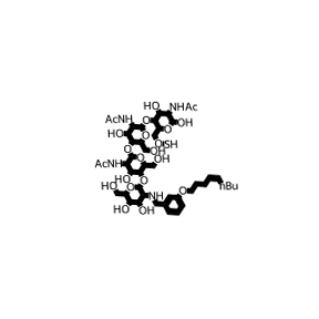 CCCC/C=C\CCCOc1cccc(CNC2C(OC3C(CO)OC(OC4C(CO)OC(OC5C(COS)OC(O)C(NC(C)=O)C5O)C(NC(C)=O)C4O)C(NC(C)=O)C3O)OC(CO)C(O)C2O)c1